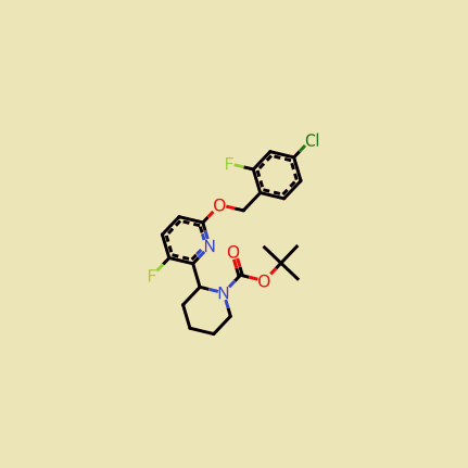 CC(C)(C)OC(=O)N1CCCCC1c1nc(OCc2ccc(Cl)cc2F)ccc1F